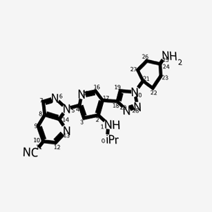 CC(C)Nc1cc(-n2ncc3cc(C#N)cnc32)ncc1-c1cn(C2CCC(N)CC2)nn1